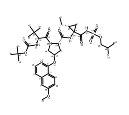 CC[C@@H]1C[C@]1(NC(=O)[C@@H]1C[C@@H](Oc2nccc3cc(OC)ccc23)CN1C(=O)[C@@H](NC(=O)OC(C)(C)C)C(C)(C)C)C(=O)NS(=O)(=O)OCC(F)F